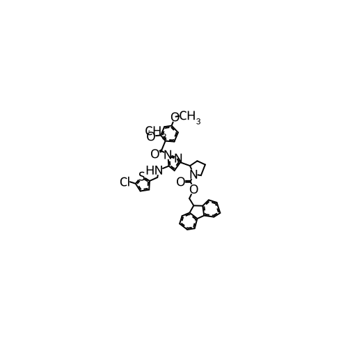 COc1ccc(C(=O)n2nc(C3CCCN3C(=O)OCC3c4ccccc4-c4ccccc43)cc2NCc2ccc(Cl)s2)c(OC)c1